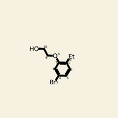 CCc1ccc(Br)cc1OCCO